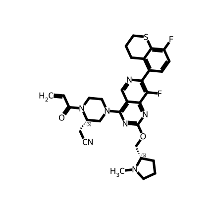 C=CC(=O)N1CCN(c2nc(OC[C@@H]3CCCN3C)nc3c(F)c(-c4ccc(F)c5c4CCCS5)ncc23)C[C@@H]1CC#N